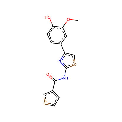 COc1cc(-c2csc(NC(=O)c3ccsc3)n2)ccc1O